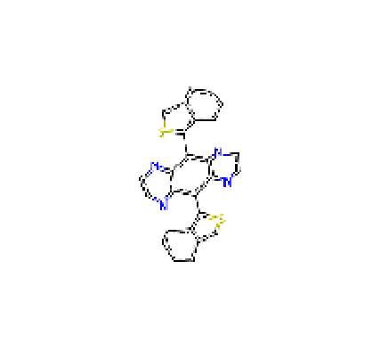 c1ccc2c(-c3c4nccnc4c(-c4scc5ccccc45)c4nccnc34)scc2c1